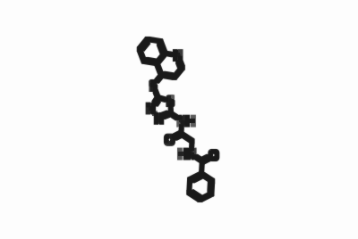 O=C(CNC(=O)c1ccccc1)Nc1nnc(Sc2ccnc3ccccc23)s1